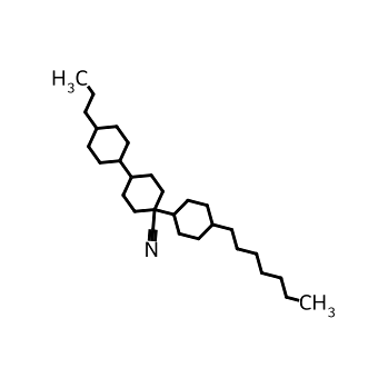 CCCCCCCC1CCC(C2(C#N)CCC(C3CCC(CCC)CC3)CC2)CC1